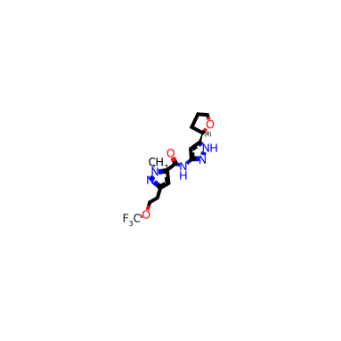 Cn1nc(CCOC(F)(F)F)cc1C(=O)Nc1cc([C@H]2CCCO2)[nH]n1